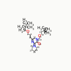 CC(C)C(C)(C)[SiH2]OC/C=C/c1cn(COCC[Si](C)(C)C)c(=O)c(N2CCCCC2)n1